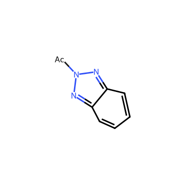 CC(=O)n1nc2ccccc2n1